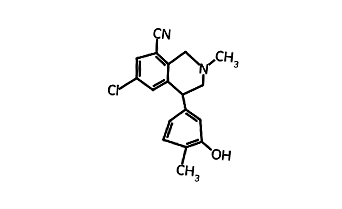 Cc1ccc(C2CN(C)Cc3c(C#N)cc(Cl)cc32)cc1O